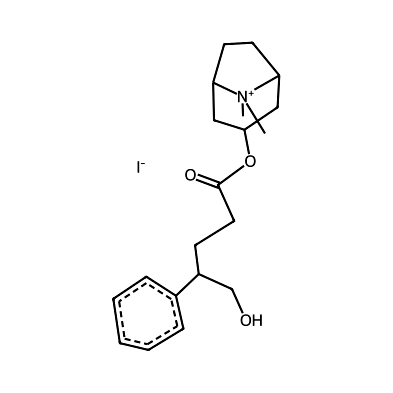 C[N+]1(C)C2CCC1CC(OC(=O)CCC(CO)c1ccccc1)C2.[I-]